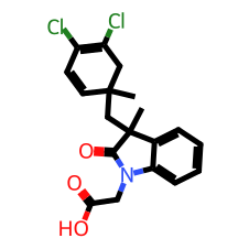 CC1(CC2(C)C(=O)N(CC(=O)O)c3ccccc32)C=CC(Cl)=C(Cl)C1